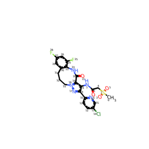 CS(=O)(=O)CC(=O)Nc1c(-c2ccc(Cl)cn2)nn2c1C(=O)Nc1c(F)cc(F)cc1CCC2